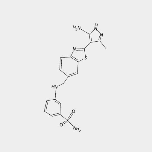 Cc1n[nH]c(N)c1-c1nc2ccc(CNc3cccc(S(N)(=O)=O)c3)cc2s1